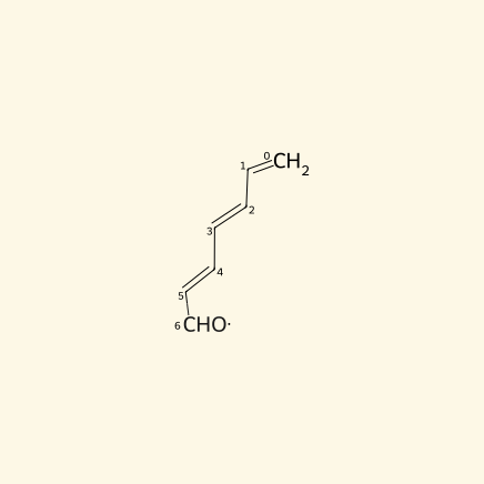 C=CC=CC=C[C]=O